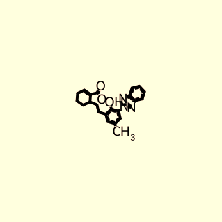 Cc1cc(CC2OC(=O)C3=CCCCC32)c(O)c(-n2nc3ccccc3n2)c1